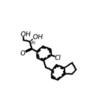 O=C(c1ccc(Cl)c(Cc2ccc3c(c2)CCC3)c1)[C@H](O)CO